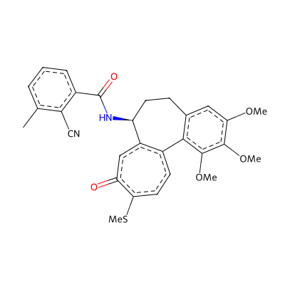 COc1cc2c(c(OC)c1OC)-c1ccc(SC)c(=O)cc1[C@@H](NC(=O)c1cccc(C)c1C#N)CC2